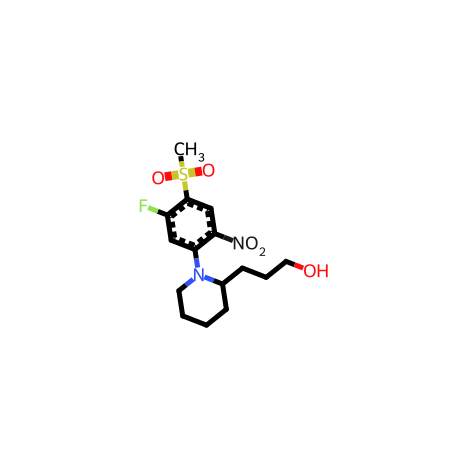 CS(=O)(=O)c1cc([N+](=O)[O-])c(N2CCCCC2CCCO)cc1F